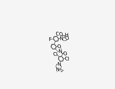 CN1CCN(c2cc(Cl)c(C(=O)N3COc4c(cccc4-c4cc(N5CCOCC5)c(C(=O)O)cc4F)C3)c(Cl)c2)CC12CC2